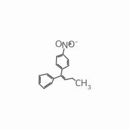 CC/C=C(/c1ccccc1)c1ccc([N+](=O)[O-])cc1